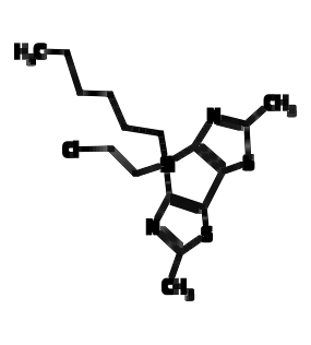 CCCCCC[Si]1(CCCl)c2nc(C)sc2-c2sc(C)nc21